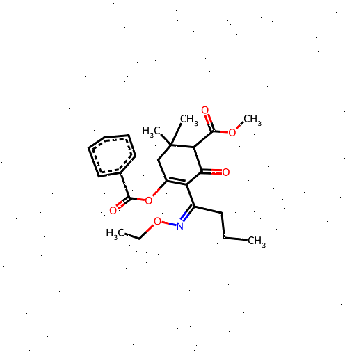 CCC/C(=N/OCC)C1=C(OC(=O)c2ccccc2)CC(C)(C)C(C(=O)OC)C1=O